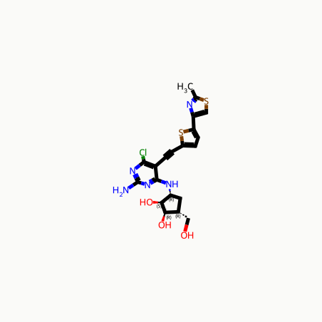 Cc1nc(-c2ccc(C#Cc3c(Cl)nc(N)nc3N[C@@H]3C[C@H](CO)[C@@H](O)[C@H]3O)s2)cs1